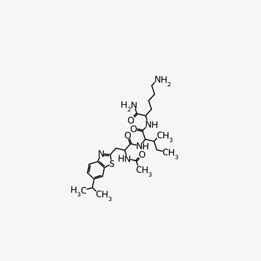 CCC(C)C(NC(=O)C(Cc1nc2ccc(C(C)C)cc2s1)NC(C)=O)C(=O)NC(CCCCN)C(N)=O